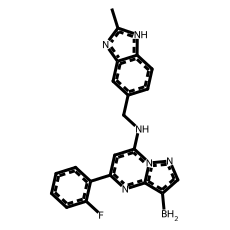 Bc1cnn2c(NCc3ccc4[nH]c(C)nc4c3)cc(-c3ccccc3F)nc12